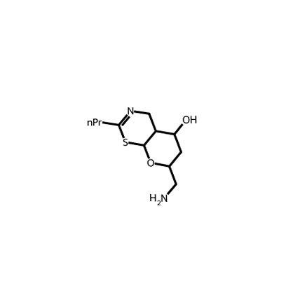 CCCC1=NCC2C(O)CC(CN)OC2S1